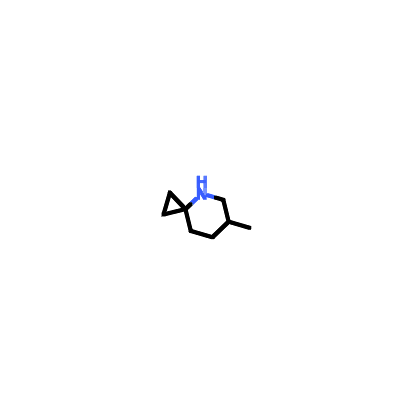 CC1CCC2(CC2)NC1